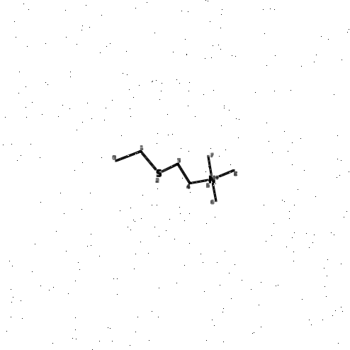 CCSCC[N+](C)(C)C